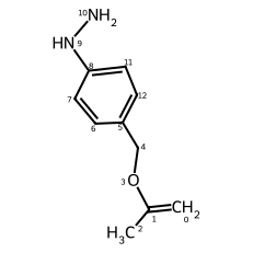 C=C(C)OCc1ccc(NN)cc1